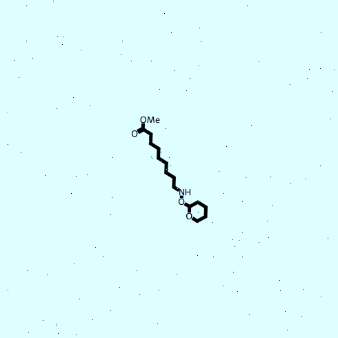 COC(=O)CCCCCCCCNOC1CCCCO1